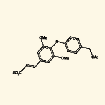 COc1cc(C=CC(=O)O)cc(OC)c1Oc1ccc(COC(C)=O)cc1